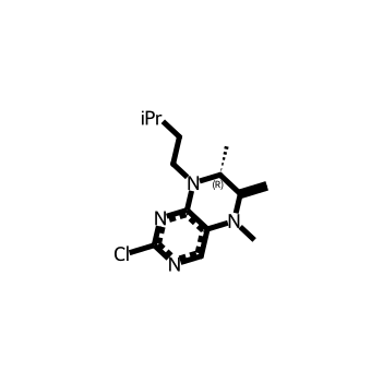 C=C1[C@@H](C)N(CCC(C)C)c2nc(Cl)ncc2N1C